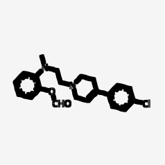 CN(CCN1CC=C(c2ccc(Cl)cc2)CC1)c1ccccc1OC=O